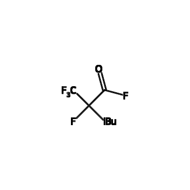 CCC(C)C(F)(C(=O)F)C(F)(F)F